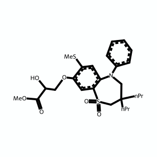 CCCC1(CCC)CN(c2ccccc2)c2cc(SC)c(OCC(O)C(=O)OC)cc2S(=O)(=O)C1